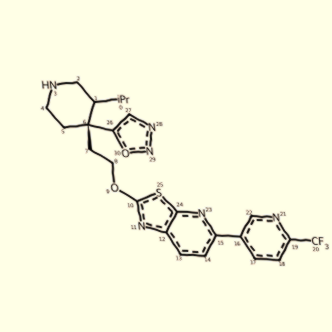 CC(C)C1CNCC[C@@]1(CCOc1nc2ccc(-c3ccc(C(F)(F)F)nc3)nc2s1)c1cnno1